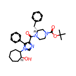 CC(C)(C)OC(=O)N1CCN(C(=O)c2ncn(C3CCCCC[C@@H]3O)c2-c2ccccc2)[C@H](Cc2ccccc2)C1